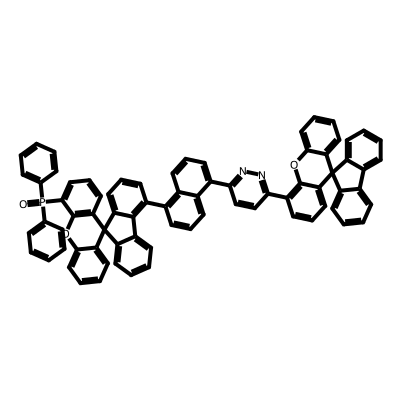 O=P(c1ccccc1)(c1ccccc1)c1cccc2c1Oc1ccccc1C21c2ccccc2-c2c(-c3cccc4c(-c5ccc(-c6cccc7c6Oc6ccccc6C76c7ccccc7-c7ccccc76)nn5)cccc34)cccc21